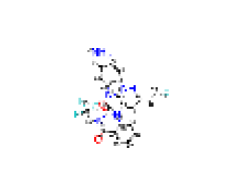 NCc1ccc2[nH]c(C(CCCCF)n3c(=O)n(CC(F)(F)F)c(=O)c4ccccc43)nc2c1